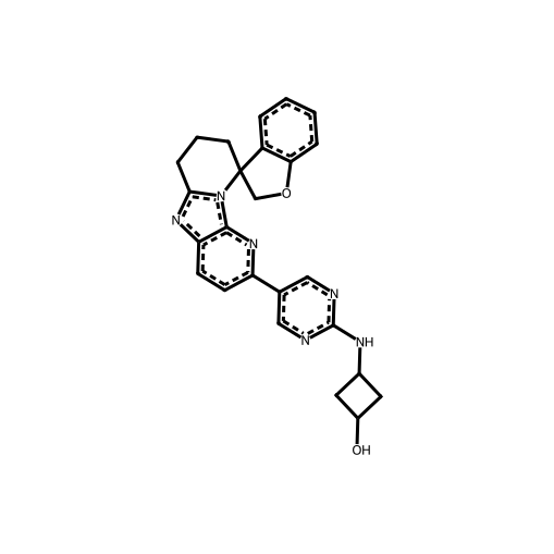 OC1CC(Nc2ncc(-c3ccc4nc5n(c4n3)C3(CCC5)COc4ccccc43)cn2)C1